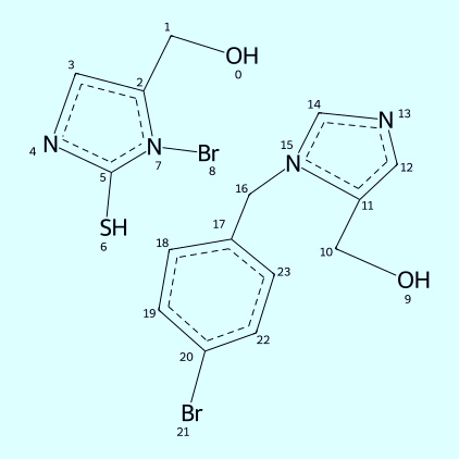 OCc1cnc(S)n1Br.OCc1cncn1Cc1ccc(Br)cc1